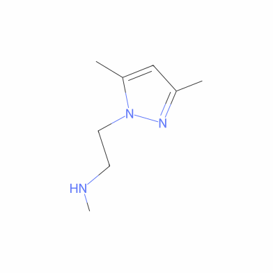 CNCCn1nc(C)cc1C